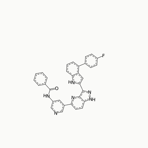 O=C(Nc1cncc(-c2ccc3[nH]nc(-c4cc5c(-c6ccc(F)cc6)cccc5[nH]4)c3n2)c1)c1ccccc1